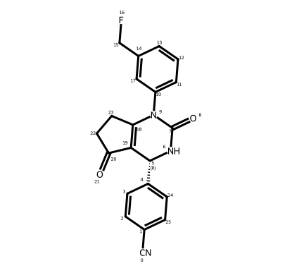 N#Cc1ccc([C@H]2NC(=O)N(c3cccc(CF)c3)C3=C2C(=O)CC3)cc1